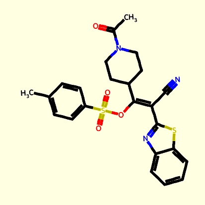 CC(=O)N1CCC(C(OS(=O)(=O)c2ccc(C)cc2)=C(C#N)c2nc3ccccc3s2)CC1